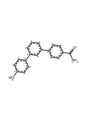 NC(=O)c1ccc(-c2cc[c]c(-c3ccc(O)cc3)c2)cc1